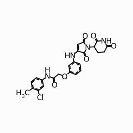 Cc1ccc(NC(=O)COc2cccc(NC3=CC(=O)N(C4CCC(=O)NC4=O)C3=O)c2)cc1Cl